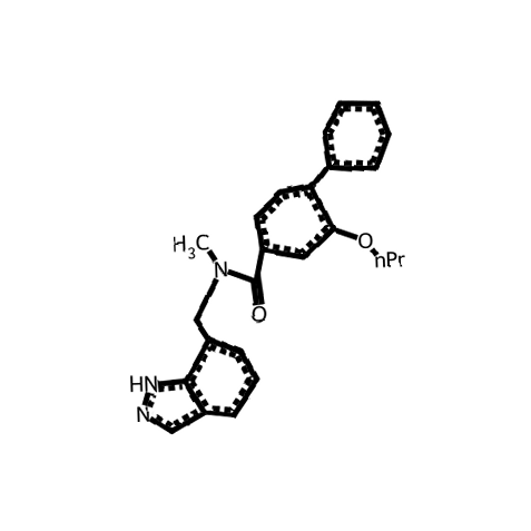 CCCOc1cc(C(=O)N(C)Cc2cccc3cn[nH]c23)ccc1-c1ccccc1